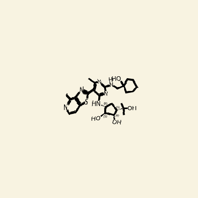 Cc1nc(NCC2(O)CCCCC2)nc(N[C@@H]2C[C@H](C(C)(C)O)[C@@H](O)[C@H]2O)c1-c1nc2c(C)nccc2s1